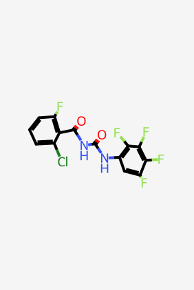 O=C(NC(=O)c1c(F)cccc1Cl)Nc1cc(F)c(F)c(F)c1F